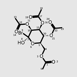 CC(=O)OC[C@H]1O[C@@](O)(Br)[C@@H](OC(C)=O)[C@@H](OC(C)=O)[C@@H]1OC(C)=O